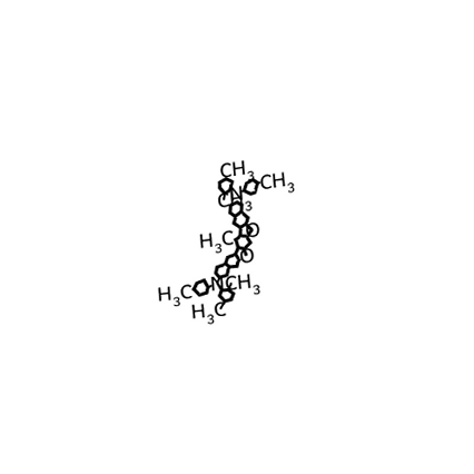 Cc1ccc(N(c2ccc3cc4c(cc3c2)oc2cc3oc5cc6cc(N(c7ccc(C)cc7)c7cc(C)ccc7C)ccc6cc5c3c(C)c24)c2cc(C)ccc2C)cc1